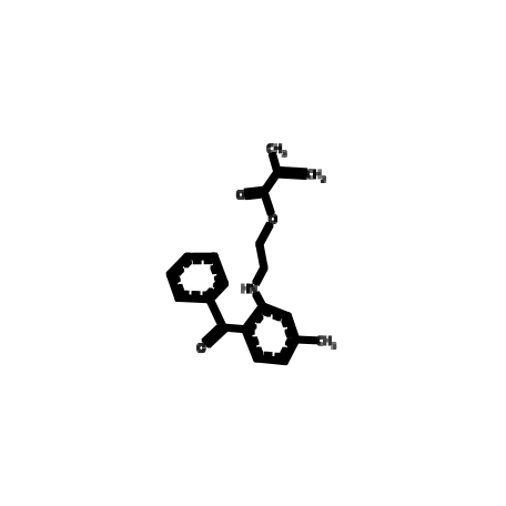 C=C(C)C(=O)OCCNc1cc(C)ccc1C(=O)c1ccccc1